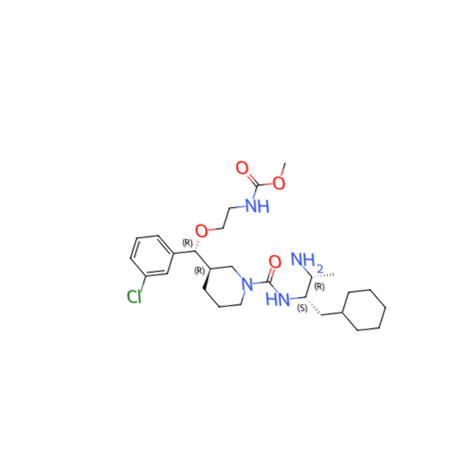 COC(=O)NCCO[C@@H](c1cccc(Cl)c1)[C@@H]1CCCN(C(=O)N[C@@H](CC2CCCCC2)[C@@H](C)N)C1